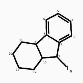 IC1c2ccccc2C2CCCCC12